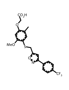 COc1cc(OCC(=O)O)c(C)cc1SCc1cc(-c2ccc(C(F)(F)F)cc2)no1